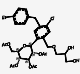 CCc1ccc(Cc2cc([C@@H]3O[C@H](COC(C)=O)[C@@H](OC(C)=O)[C@H](OC(C)=O)[C@H]3OC(C)=O)c(COCC(O)CO)cc2Cl)cc1